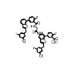 NC(=O)CNC(=O)c1cc(-c2cccc3cc(Cc4cc(F)cc(Cl)c4)sc23)ccc1F.O=C(O)c1cc(-c2cccc3cc(Cc4cc(F)cc(Cl)c4)sc23)ccc1F